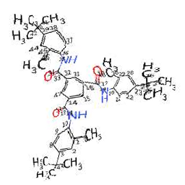 Cc1cc(C(C)(C)C)ccc1NC(=O)c1cc(C(=O)Nc2ccc(C(C)(C)C)cc2C)cc(C(=O)Nc2ccc(C(C)(C)C)cc2C)c1